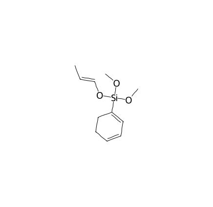 CC=CO[Si](OC)(OC)C1=CC=CCC1